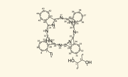 CC(O)C(C)O.[Ti][c]1cccc2c3nc4nc(nc5[nH]c(nc6nc(nc([nH]3)c12)-c1ccccc1-6)c1ccccc51)-c1ccccc1-4